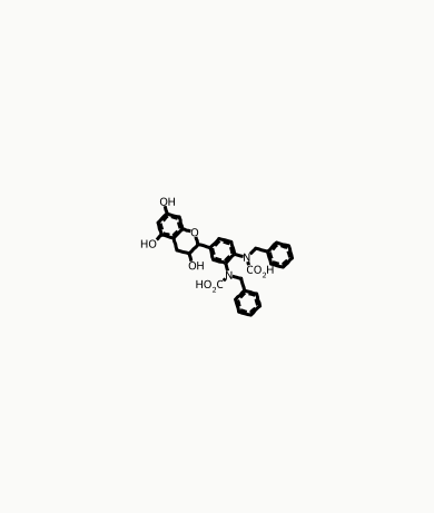 O=C(O)N(Cc1ccccc1)c1ccc(C2Oc3cc(O)cc(O)c3CC2O)cc1N(Cc1ccccc1)C(=O)O